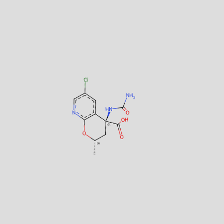 C[C@H]1C[C@@](NC(N)=O)(C(=O)O)c2cc(Cl)cnc2O1